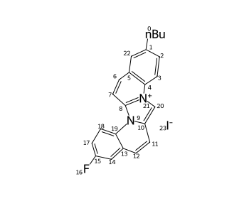 CCCCc1ccc2c(ccc3n4c(ccc5cc(F)ccc54)c[n+]23)c1.[I-]